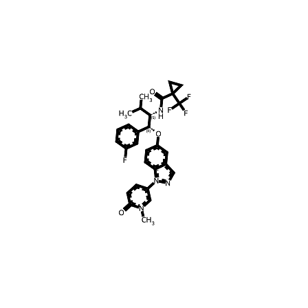 CC(C)[C@H](NC(=O)C1(C(F)(F)F)CC1)[C@H](Oc1ccc2c(cnn2-c2ccc(=O)n(C)c2)c1)c1cccc(F)c1